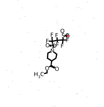 CCOC(=O)C1CCN(S(=O)(=O)C(F)(F)C(F)(F)C(F)(F)S(=O)(=O)F)CC1